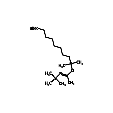 CCCCCCCCCCCCCCCCC[Si](C)(C)OC(C)=N[Si](C)(C)C